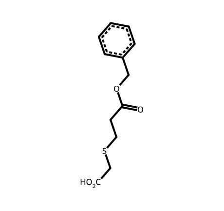 O=C(O)CSCCC(=O)OCc1ccccc1